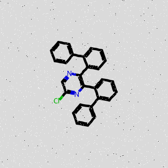 Clc1cnc(-c2ccccc2-c2ccccc2)c(-c2ccccc2-c2ccccc2)n1